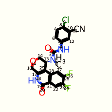 CN(C(=O)Nc1ccc(Cl)c(C#N)c1)[C@H]1COCc2[nH]c(=O)c3cc(F)c(F)cc3c21